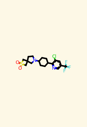 O=S1(=O)CC2(CCN(C3CCC(c4ncc(C(F)(F)F)cc4Cl)CC3)C2)C1